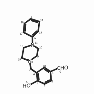 O=Cc1ccc(O)c(CN2CCN(c3ccccc3)CC2)c1